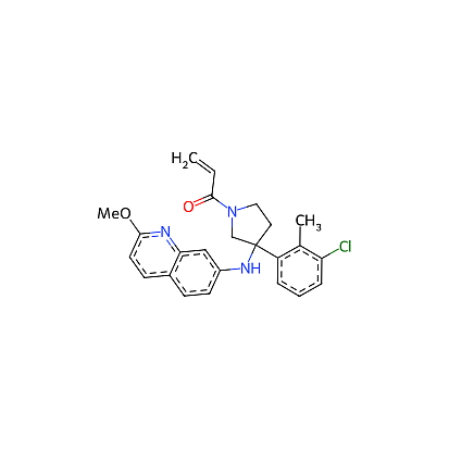 C=CC(=O)N1CCC(Nc2ccc3ccc(OC)nc3c2)(c2cccc(Cl)c2C)C1